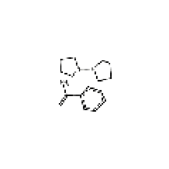 C1CCN(N2CCCC2)C1.NC(=O)c1ccccc1